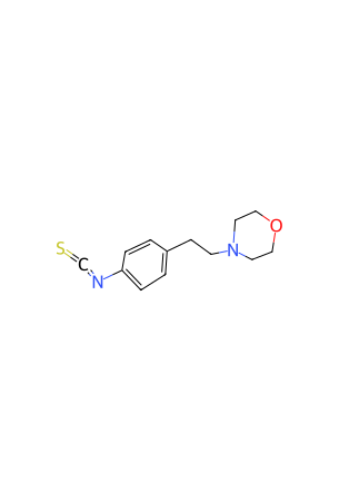 S=C=Nc1ccc(CCN2CCOCC2)cc1